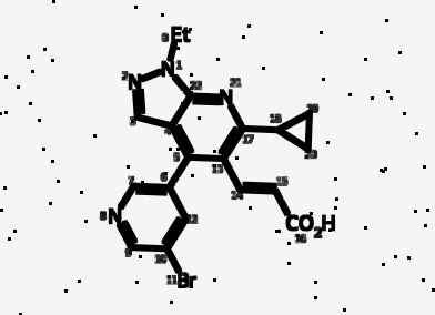 CCn1ncc2c(-c3cncc(Br)c3)c(C=CC(=O)O)c(C3CC3)nc21